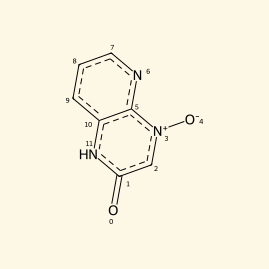 O=c1c[n+]([O-])c2ncccc2[nH]1